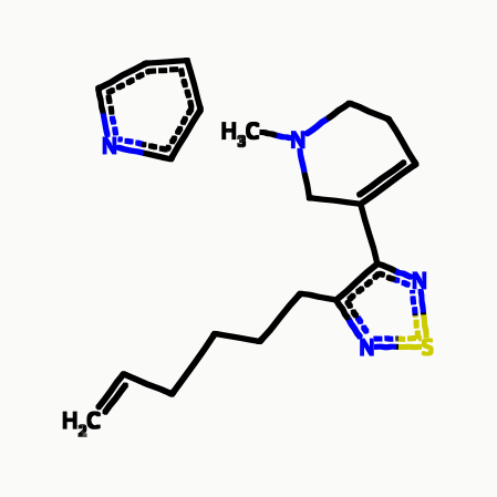 C=CCCCCc1nsnc1C1=CCCN(C)C1.c1ccncc1